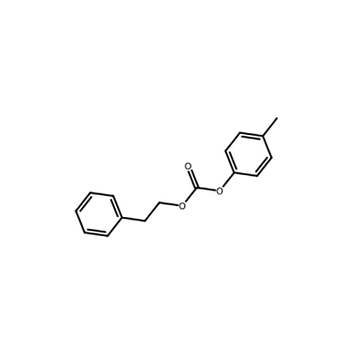 Cc1ccc(OC(=O)OCCc2ccccc2)cc1